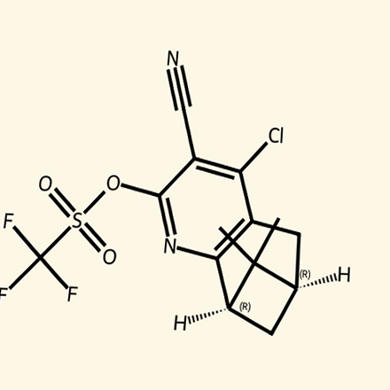 CC1(C)[C@H]2Cc3c(nc(OS(=O)(=O)C(F)(F)F)c(C#N)c3Cl)[C@@H]1C2